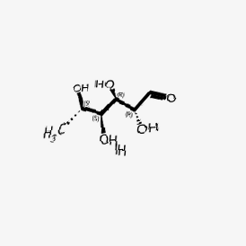 C[C@H](O)[C@H](O)[C@@H](O)[C@@H](O)C=O.I